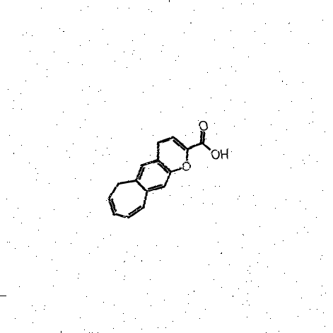 O=C(O)C1=CCc2cc3c(cc2O1)C=CC=CC3